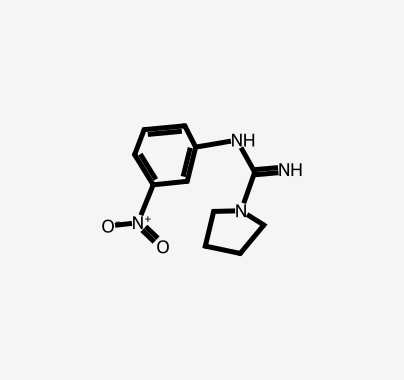 N=C(Nc1cccc([N+](=O)[O-])c1)N1CCCC1